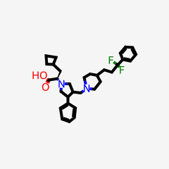 O=C(O)[C@@H](CC1CCC1)N1CC(CN2CCC(CCC(F)(F)c3ccccc3)CC2)C(c2ccccc2)C1